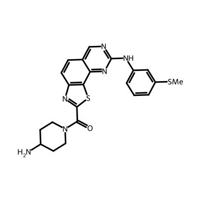 CSc1cccc(Nc2ncc3ccc4nc(C(=O)N5CCC(N)CC5)sc4c3n2)c1